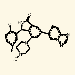 CN1CCN(c2cc(-c3ccc4ncnn4c3)cc3c2C(c2cc(F)ccc2Cl)NC3=O)CC1